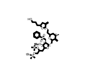 C=C1C(C[C@@H]2OC(CC(CO[Si](C)(C)C(C)(C)C)O[Si](C)(C)C(C)(C)C)[C@H](OC)[C@H]2CS(=O)(=O)c2ccccc2)OC(CC[C@@H]2OC(CCCO)CC2=C)C[C@H]1C